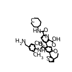 Cc1cc(CN)cc(C)c1NC(=O)c1cc2c(cc1-c1ccc(C(=O)NC3CCCCCCC3)nc1C(=O)O)OCCc1ccsc1-2